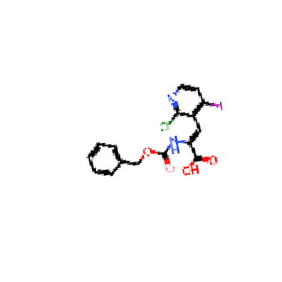 O=C(NC(=Cc1c(I)ccnc1Cl)C(=O)O)OCc1ccccc1